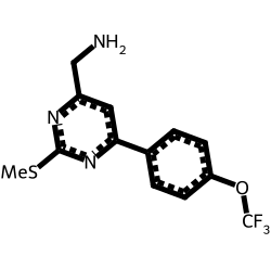 CSc1nc(CN)cc(-c2ccc(OC(F)(F)F)cc2)n1